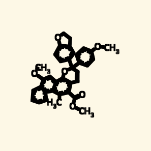 COC(=O)c1c2c(c3cc(OC)c4ccccc4c3c1C)OC(c1ccc(OC)cc1)(c1ccc3c(c1)CCO3)C=C2